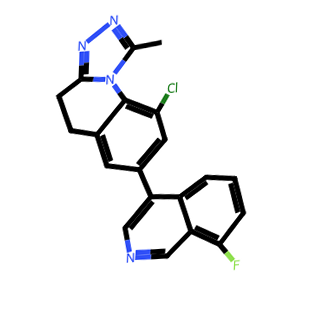 Cc1nnc2n1-c1c(Cl)cc(-c3cncc4c(F)cccc34)cc1CC2